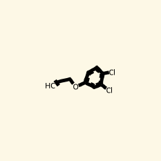 C#CCOc1ccc(Cl)c(Cl)c1